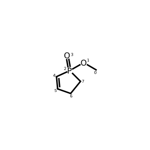 COP1(=O)C=CCC1